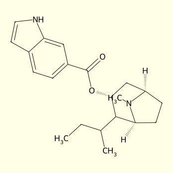 CCC(C)C1[C@H](OC(=O)c2ccc3cc[nH]c3c2)C[C@H]2CC[C@@H]1N2C